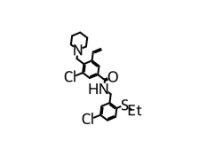 C=Cc1cc(C(=O)NCc2cc(Cl)ccc2SCC)cc(Cl)c1CN1CCCCC1